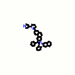 c1ccc(-c2c(-c3ccccc3)n(-c3ccc4ccccc4c3)c3cc4ccc5cc(-c6cccc(-c7ccncc7)n6)ccc5c4cc23)cc1